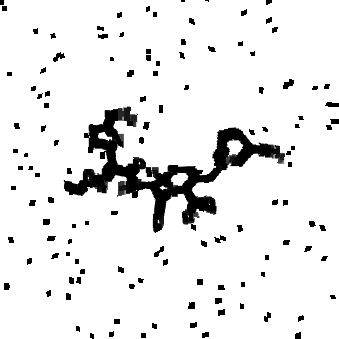 CCON=C(C(=O)NC1C(=O)N2C(C(=O)[O-])=C(C[n+]3cccc(N)c3)CS[C@@H]12)c1nsc(N)n1